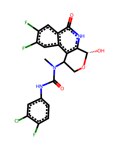 CN(C(=O)Nc1ccc(F)c(Cl)c1)C1CO[C@@H](O)c2[nH]c(=O)c3cc(F)c(F)cc3c21